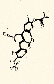 CCN(C)Cc1c(Cc2cccc(NS(=O)(=O)CC)c2F)c(=O)oc2cc(OC(=O)N(C)C)c(Cl)cc12